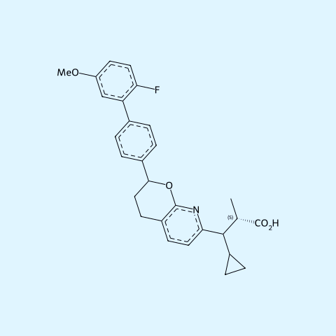 COc1ccc(F)c(-c2ccc(C3CCc4ccc(C(C5CC5)[C@H](C)C(=O)O)nc4O3)cc2)c1